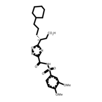 COc1ccc(S(=O)(=O)NC(=O)c2noc([C@H](CCCC3CCCCC3)CC(=O)O)n2)cc1OC